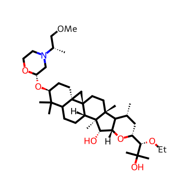 CCO[C@@H]([C@H]1C[C@@H](C)C2[C@H](O1)[C@H](O)[C@@]1(C)[C@@H]3CCC4C(C)(C)[C@@H](O[C@H]5CN([C@@H](C)COC)CCO5)CC[C@@]45C[C@@]35CC[C@]21C)C(C)(C)O